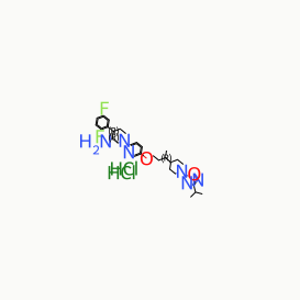 CC(C)c1noc(N2CCC([C@H](C)CCOc3ccc(N4CC[C@H](c5cc(F)ccc5F)[C@@H](N)C4)nc3)CC2)n1.Cl.Cl